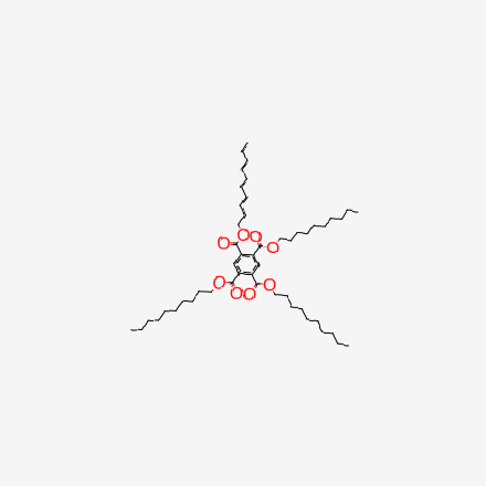 CCCCCCCCCCOC(=O)c1cc(C(=O)OCCCCCCCCCC)c(C(=O)OCCCCCCCCCC)cc1C(=O)OCCCCCCCCCC